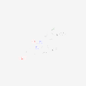 COc1ccc(Cn2c(=O)n([C@H]3CC[C@H](O)CC3)c3ccc(C(F)(F)F)cc32)cc1Br